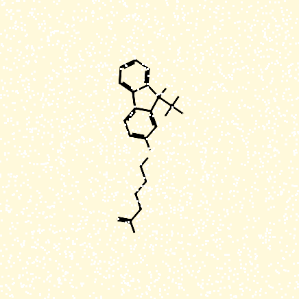 O=C(O)CCCCOc1ccc2c(c1)C(O)(C(F)(F)F)c1ccccc1-2